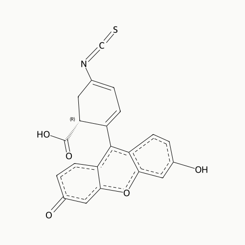 O=C(O)[C@@H]1CC(N=C=S)=CC=C1c1c2ccc(=O)cc-2oc2cc(O)ccc12